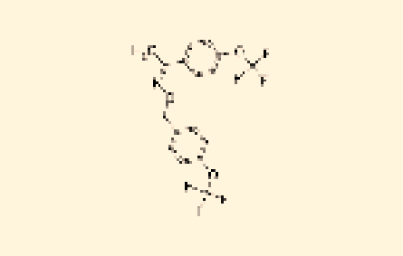 CC(=NOCc1ccc(OC(F)(F)F)cc1)c1ccc(OC(F)(F)F)cc1